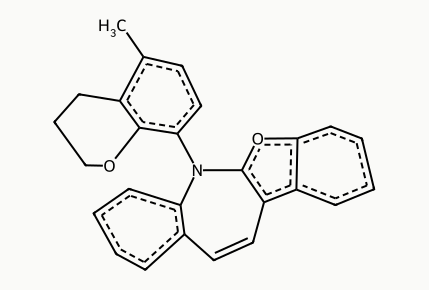 Cc1ccc(N2c3ccccc3C=Cc3c2oc2ccccc32)c2c1CCCO2